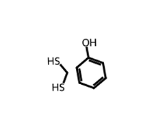 Oc1ccccc1.SCS